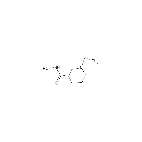 [CH2]CN1CCCC(C(=O)NO)C1